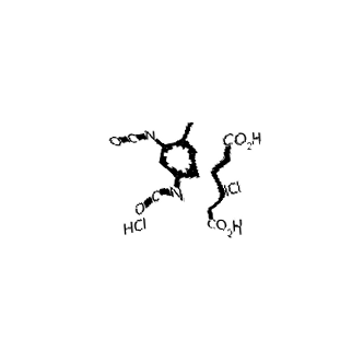 Cc1ccc(N=C=O)cc1N=C=O.Cl.Cl.O=C(O)CCCCC(=O)O